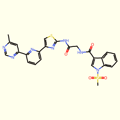 Cc1cc(-c2cccc(-c3csc(NC(=O)CNC(=O)c4cn(S(C)(=O)=O)c5ccccc45)n3)n2)ncn1